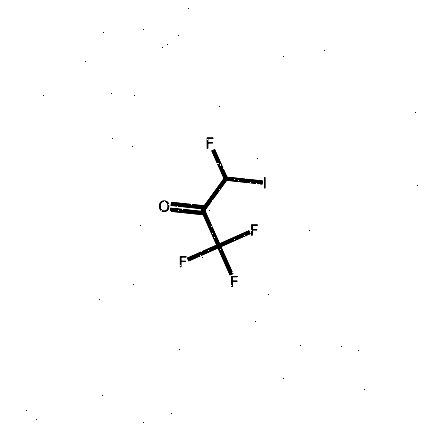 O=C(C(F)I)C(F)(F)F